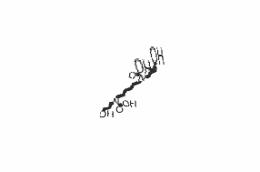 O=C(O)N(CCCO)CCCCCCN(CCCO)C(=O)O